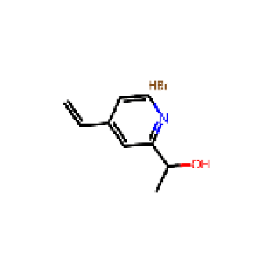 Br.C=Cc1ccnc(C(C)O)c1